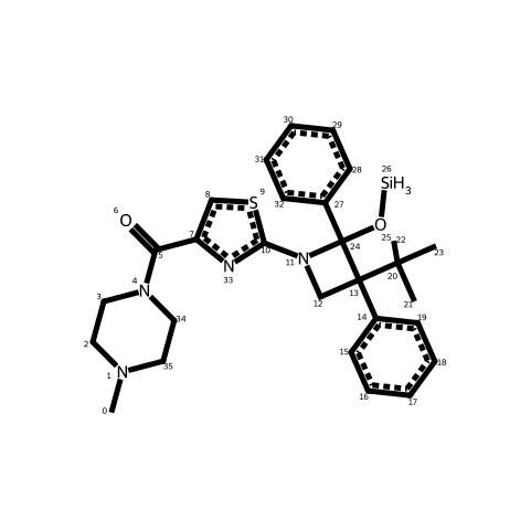 CN1CCN(C(=O)c2csc(N3CC(c4ccccc4)(C(C)(C)C)C3(O[SiH3])c3ccccc3)n2)CC1